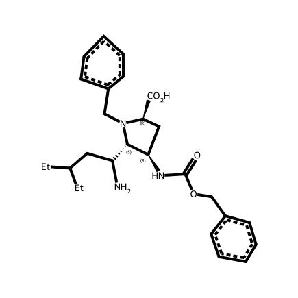 CCC(CC)CC(N)[C@H]1[C@H](NC(=O)OCc2ccccc2)C[C@H](C(=O)O)N1Cc1ccccc1